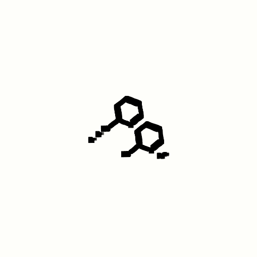 Oc1ccccn1.Oc1ccccn1.[Br-].[Br-].[Pd+2]